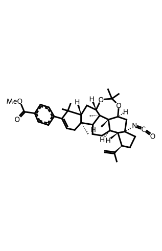 C=C(C)[C@@H]1CC[C@]2(N=C=O)C[C@@H]3OC(C)(C)O[C@H]4C[C@H]5C(C)(C)C(c6ccc(C(=O)OC)cc6)=CC[C@]5(C)[C@H]5CC[C@H]([C@@H]12)[C@]3(C)[C@]45C